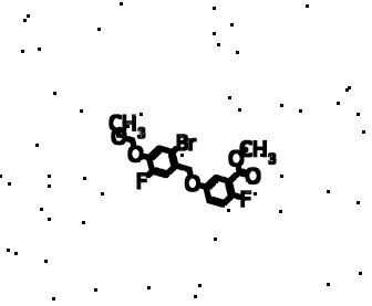 COCOc1cc(Br)c(COc2ccc(F)c(C(=O)OC)c2)cc1F